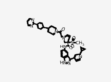 CS(=O)(=O)[C@@]1(C(=O)Nc2ccc3[nH]nc(-c4ccnc(C5CC5)c4)c3c2)CCN(CC(=O)N2CCC(c3ccc(-c4ncccn4)cc3)CC2)C1